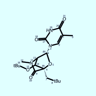 Cc1cn([C@@H]2O[C@@]3(CC(C)(C)C)C(=O)N(C)C2C3OC(C)(C)C)c(=O)[nH]c1=O